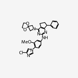 COc1cc(Nc2nc3c(c(N4CC5(C4)OCCO5)n2)CCC3c2ccccc2)ccc1-n1cnc(Cl)c1